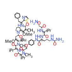 CC[C@H](C)[C@@H]([C@@H](CC(=O)N1CCC[C@H]1[C@H](OC)[C@@H](C)C(=O)N[C@@H](Cc1ccccc1)c1nccs1)OC)N(C)C(=O)[C@@H](NC(=O)[C@H](C(C)C)N(C)C(=O)COc1ccc(NC(=O)[C@H](CCCNC(N)=O)NC(=O)[C@@H](NC(=O)CON)C(C)C)cc1)C(C)C